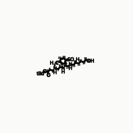 CC(C)(C)OC(=O)CCNCCNCCNCCCCCCO.Cc1ccc(S(=O)(=O)O)cc1